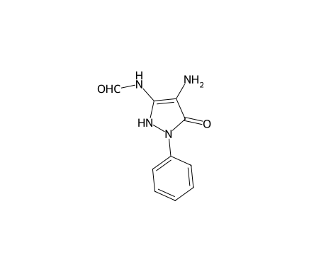 Nc1c(NC=O)[nH]n(-c2ccccc2)c1=O